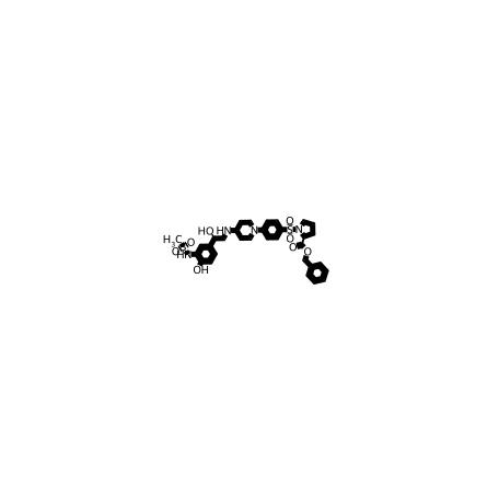 CS(=O)(=O)Nc1cc([C@H](O)CNC2CCN(c3ccc(S(=O)(=O)N4CCC[C@H]4C(=O)OCc4ccccc4)cc3)CC2)ccc1O